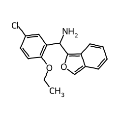 CCOc1ccc(Cl)cc1C(N)c1occ2ccccc12